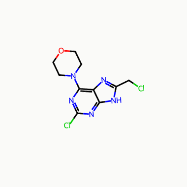 ClCc1nc2c(N3CCOCC3)nc(Cl)nc2[nH]1